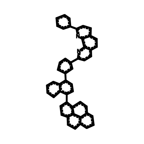 c1ccc(-c2ccc3ccc4ccc(-c5cccc(-c6ccc(-c7ccc8ccc9cccc%10ccc7c8c9%10)c7ccccc67)c5)nc4c3n2)cc1